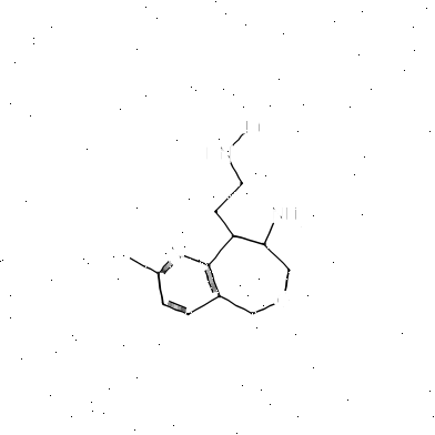 CCNCCC1c2nc(C)ccc2COCC1N